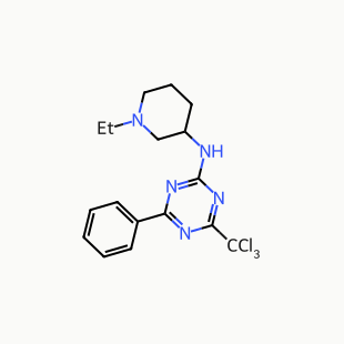 CCN1CCCC(Nc2nc(-c3ccccc3)nc(C(Cl)(Cl)Cl)n2)C1